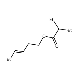 CCC=CCCOC(=O)C(CC)CC